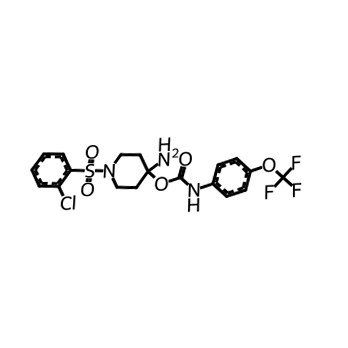 NC1(OC(=O)Nc2ccc(OC(F)(F)F)cc2)CCN(S(=O)(=O)c2ccccc2Cl)CC1